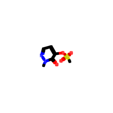 Cn1nccc(OS(C)(=O)=O)c1=O